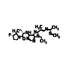 C=N/C(C)=N\C=C(/C)c1nc2c(N[C@@H](CC)C(=O)N3CC[C@H](F)C3)ncnc2n1CC